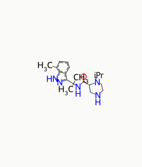 Cc1cccc2c(C(C)(C)NC(=O)[C@@H]3CNCCN3C(C)C)n[nH]c12